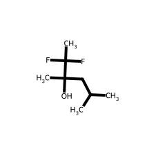 CC(C)CC(C)(O)C(C)(F)F